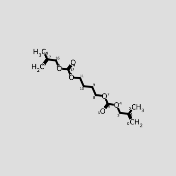 C=C(C)COC(=O)OCCCCOC(=O)OCC(=C)C